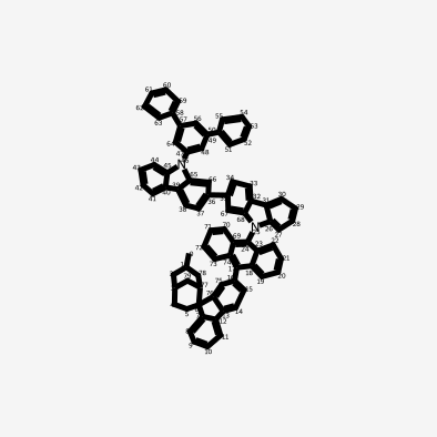 CC1CC2CCC3(c4ccccc4-c4ccc(-c5c6ccccc6c(-n6c7ccccc7c7ccc(-c8ccc9c%10ccccc%10n(-c%10cc(-c%11ccccc%11)cc(-c%11ccccc%11)c%10)c9c8)cc76)c6ccccc56)cc43)C(C1)C2